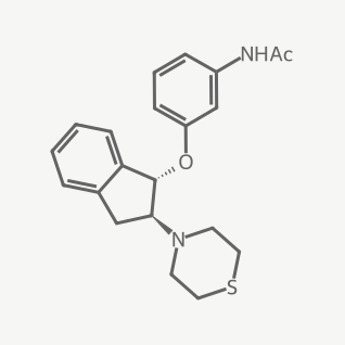 CC(=O)Nc1cccc(O[C@H]2c3ccccc3C[C@@H]2N2CCSCC2)c1